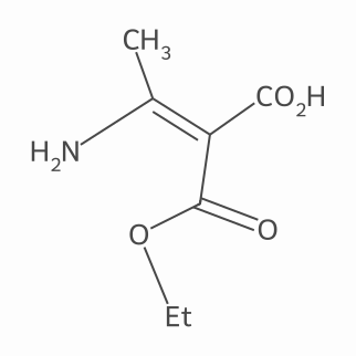 CCOC(=O)C(C(=O)O)=C(C)N